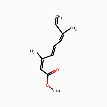 C=CC(C)=CC=CC(C)=CC(=O)OCCCC